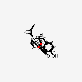 CC1OC1N1CC[C@]23CC(=O)CC[C@@]2(O)[C@H]1Cc1ccc(O)cc13